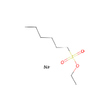 CCCCCCS(=O)(=O)OCC.[Na]